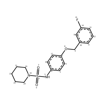 O=S(=O)(Nc1ccc(OCc2cccc(F)c2)cc1)N1CCCCC1